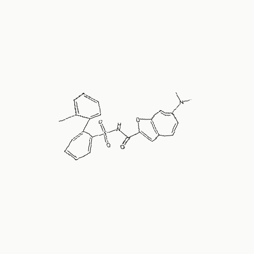 Cc1ccccc1-c1ccccc1S(=O)(=O)NC(=O)c1cc2ccc(N(C)C)cc2o1